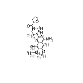 [2H]c1c(OC([2H])([2H])[2H])c(OC([2H])([2H])[2H])c([2H])c2c(N)nc(N3C([2H])([2H])CN(C(=O)C4CCCO4)CC3([2H])[2H])nc12